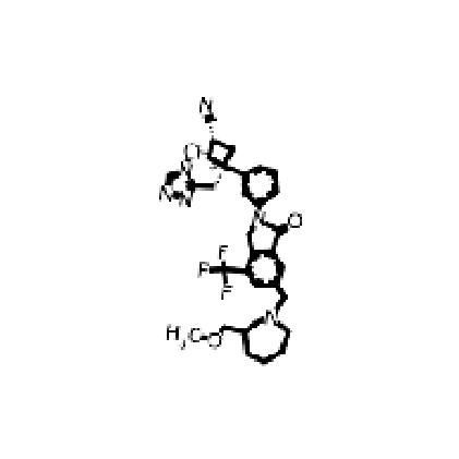 COCC1CCCCN(Cc2cc3c(c(C(F)(F)F)c2)CN(c2cccc([C@]4(Cc5nncn5C)C[C@@H](C#N)C4)c2)C3=O)C1